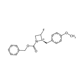 COc1ccc(C[C@@H]2C(F)CN2C(=O)OCc2ccccc2)cc1